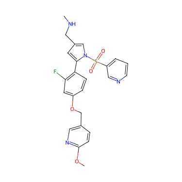 CNCc1cc(-c2ccc(OCc3ccc(OC)nc3)cc2F)n(S(=O)(=O)c2cccnc2)c1